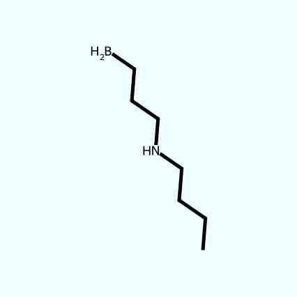 BCCCNCCCC